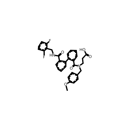 COc1ccc(CN(CCC(=O)O)C(=O)c2ccccc2-c2ccccc2C(=O)NCc2c(F)cccc2F)cc1